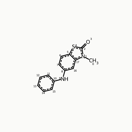 Cn1c(=O)sc2ccc(Nc3ccccc3)cc21